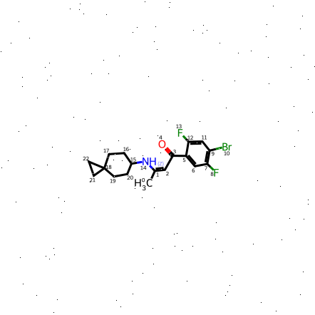 C/C(=C/C(=O)c1cc(F)c(Br)cc1F)NC1CCC2(CC1)CC2